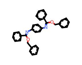 c1ccc(COC(=Nc2ccc(/N=C(\OCc3ccccc3)c3ccccc3)cc2)c2ccccc2)cc1